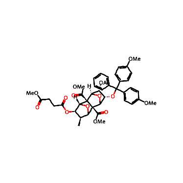 COC(=O)CCC(=O)O[C@@H]1[C@H](C)C2O[C@H]1[C@]1(C(=O)OC)[C@@H]3OC([C@@H](OC(c4ccccc4)(c4ccc(OC)cc4)c4ccc(OC)cc4)[C@H]3OC(C)=O)[C@]21C(=O)OC